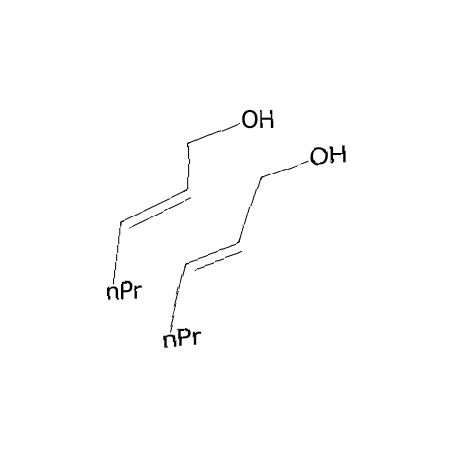 CCCC=CCO.CCCC=CCO